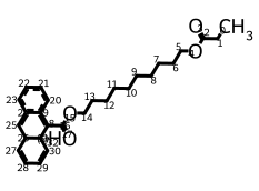 CCC(=O)OCCCCCCCCCCOC(=O)C1=c2ccccc2=CC2C=CC=C[C@H]12